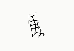 F[C](F)C(F)(F)C(F)(F)C(F)(F)[C](F)C(F)(F)F